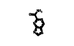 NC(=O)c1ncc2s[c]nc2n1